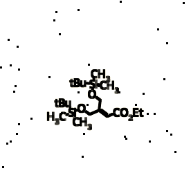 CCOC(=O)C=C(CO[Si](C)(C)C(C)(C)C)CO[Si](C)(C)C(C)(C)C